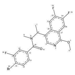 COc1ncc(C(C)N(C)C(=O)c2ccc(Br)c(F)c2)c2cc(F)c(F)cc12